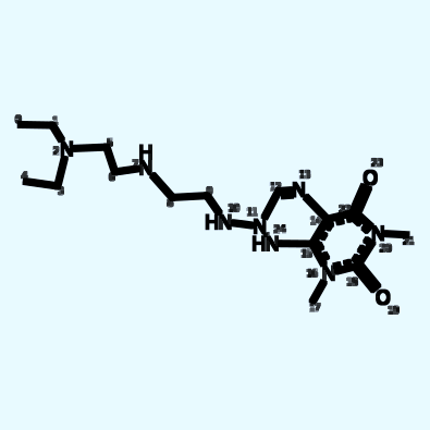 CCN(CC)CCNCCNN1C=Nc2c(n(C)c(=O)n(C)c2=O)N1